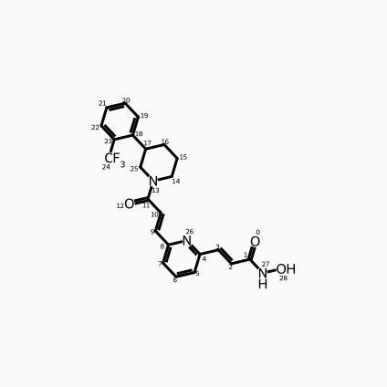 O=C(C=Cc1cccc(C=CC(=O)N2CCCC(c3ccccc3C(F)(F)F)C2)n1)NO